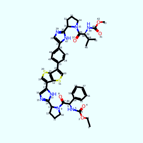 CCOC(=O)N[C@@H](C(=O)N1CCCC1c1ncc(-c2csc3c(-c4ccc(-c5cnc(C6CCCN6C(=O)[C@@H](NC(=O)OC)C(C)C)[nH]5)cc4)csc23)[nH]1)c1ccccc1